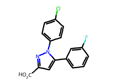 O=C(O)c1cc(-c2cccc(F)c2)n(-c2ccc(Cl)cc2)n1